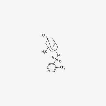 CC12CC3CC(C)(C1)CC(NS(=O)(=O)c1ccccc1C(F)(F)F)(C3)C2